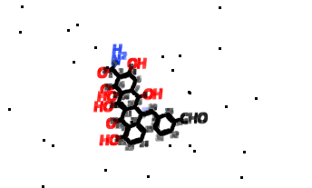 NC(=O)C1=C(O)CC2C(O)C3C(=C(O)C2(O)C1=O)C(=O)c1c(O)cccc1/C3=C\c1cccc(C=O)c1